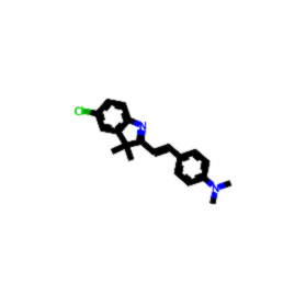 CN(C)c1ccc(C=CC2=Nc3ccc(Cl)cc3C2(C)C)cc1